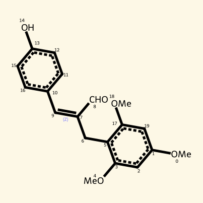 COc1cc(OC)c(C/C(C=O)=C/c2ccc(O)cc2)c(OC)c1